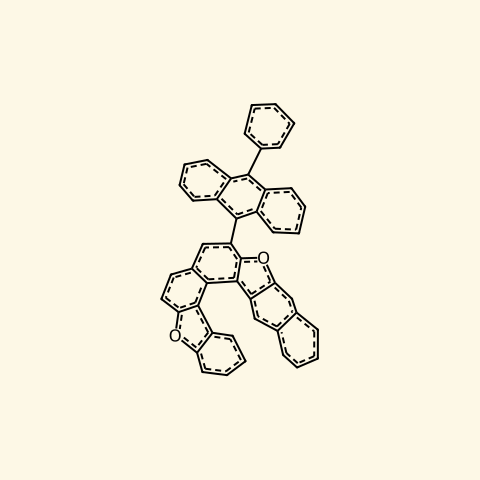 c1ccc(-c2c3ccccc3c(-c3cc4ccc5oc6ccccc6c5c4c4c3oc3cc5ccccc5cc34)c3ccccc23)cc1